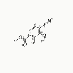 COC(=O)c1ccc(C#N)c(OC)c1C